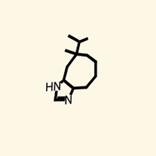 CC(C)C1(C)CCCCC2N=CNC2C1